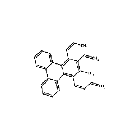 C=C/C=C\c1c(C)c(C=C)c(/C=C\C)c2c3ccccc3c3ccccc3c12